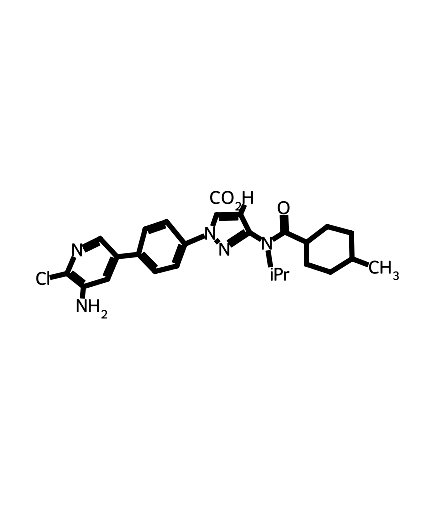 CC1CCC(C(=O)N(c2nn(-c3ccc(-c4cnc(Cl)c(N)c4)cc3)cc2C(=O)O)C(C)C)CC1